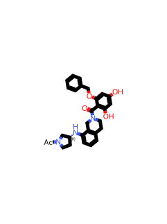 CC(=O)N1CC[C@@H](Nc2cccc3c2CN(C(=O)c2c(O)cc(O)cc2OCc2ccccc2)CC3)C1